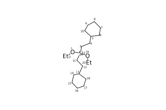 CCO[Si](CCC1CCCCC1)(CCC1CCCCC1)OCC